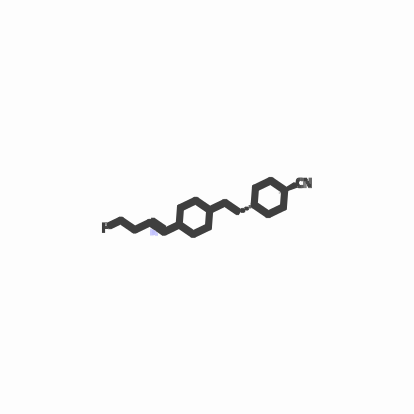 N#C[C@H]1CC[C@H](CCC2CCC(/C=C/CCF)CC2)CC1